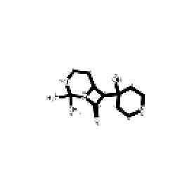 CC1(C)OCCC2C(C3(O)CCSCC3)C(=O)N21